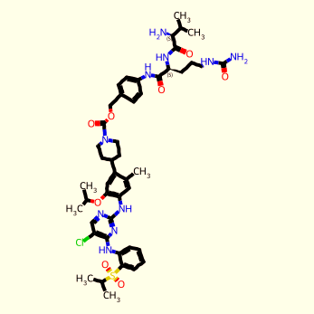 Cc1cc(Nc2ncc(Cl)c(Nc3ccccc3S(=O)(=O)C(C)C)n2)c(OC(C)C)cc1C1CCN(C(=O)OCc2ccc(NC(=O)[C@H](CCCNC(N)=O)NC(=O)[C@@H](N)C(C)C)cc2)CC1